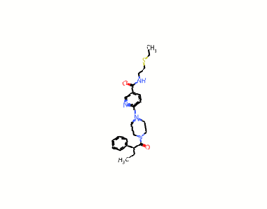 CCSCCNC(=O)c1ccc(N2CCN(C(=O)C(CC)c3ccccc3)CC2)nc1